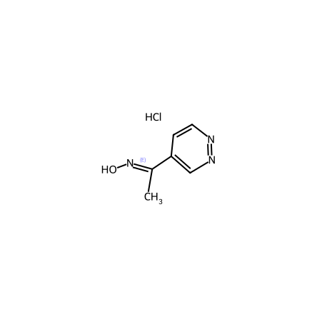 C/C(=N\O)c1ccnnc1.Cl